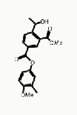 COC(=O)c1cc(C(=O)Oc2ccc(OC)c(C)c2)ccc1C(C)O